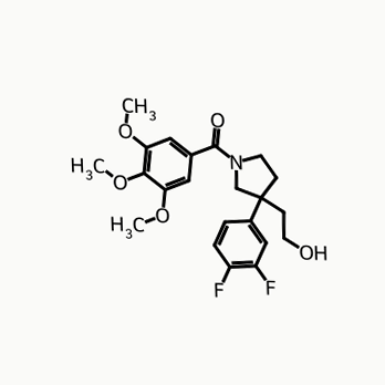 COc1cc(C(=O)N2CCC(CCO)(c3ccc(F)c(F)c3)C2)cc(OC)c1OC